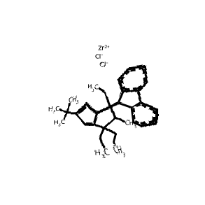 CCC1(CC)C2=CC(C(C)(C)C)=CC2C(CC)(C2c3ccccc3-c3ccccc32)C1C.[Cl-].[Cl-].[Zr+2]